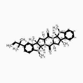 C=CC(C)(C)c1ccc2c(c1)[C@]1(C)C[C@H]3C(=O)N4[C@@H](C[C@@]5(C)c6ccccc6N(C)[C@@H]45)C(=O)N3[C@@H]1N2C